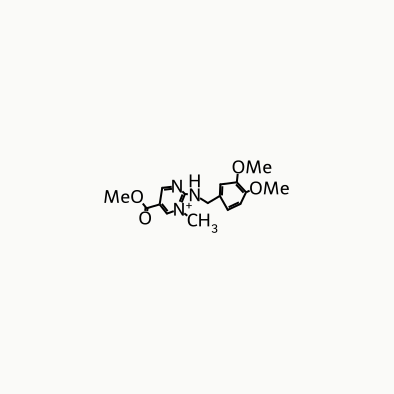 COC(=O)c1cnc(NCc2ccc(OC)c(OC)c2)[n+](C)c1